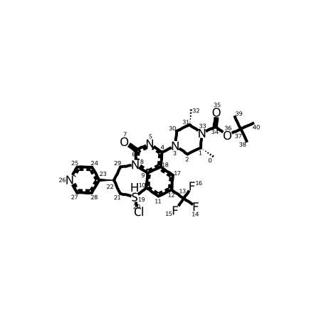 C[C@@H]1CN(c2nc(=O)n3c4c(cc(C(F)(F)F)cc24)[SH](Cl)C[C@@H](c2ccncc2)C3)C[C@H](C)N1C(=O)OC(C)(C)C